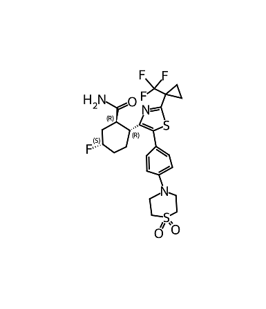 NC(=O)[C@@H]1C[C@@H](F)CC[C@H]1c1nc(C2(C(F)(F)F)CC2)sc1-c1ccc(N2CCS(=O)(=O)CC2)cc1